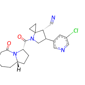 N#C[C@@H]1C(c2cncc(Cl)c2)CN(C(=O)[C@@H]2CC[C@@H]3CCCCC(=O)N32)C12CC2